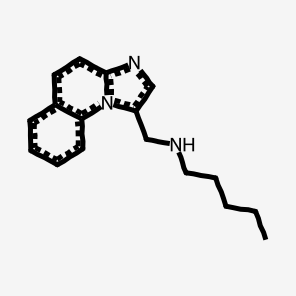 CCCCCNCc1cnc2ccc3ccccc3n12